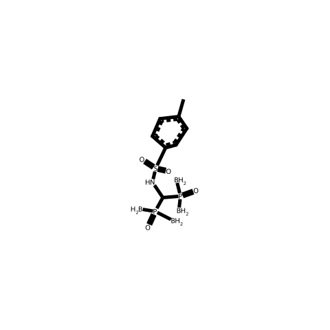 BP(B)(=O)C(NS(=O)(=O)c1ccc(C)cc1)P(B)(B)=O